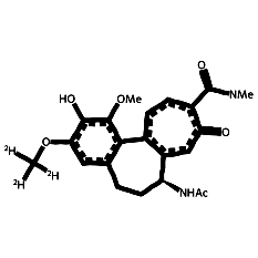 [2H]C([2H])([2H])Oc1cc2c(c(OC)c1O)-c1ccc(C(=O)NC)c(=O)cc1[C@@H](NC(C)=O)CC2